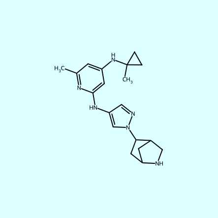 Cc1cc(NC2(C)CC2)cc(Nc2cnn(C3CC4CC3CN4)c2)n1